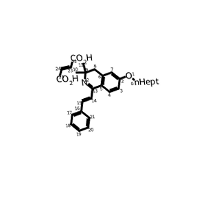 CCCCCCCOc1ccc2c(c1)CC(C)(C)N=C2C=Cc1ccccc1.O=C(O)C=CC(=O)O